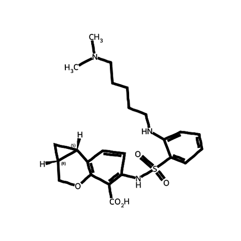 CN(C)CCCCCNc1ccccc1S(=O)(=O)Nc1ccc2c(c1C(=O)O)OC[C@@H]1C[C@H]21